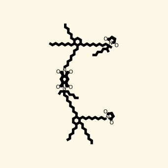 CCCCCCCCC1C(CCCCCC)CCC(CCCCCCCCC(CC)(CCCCC)n2c(=O)c3cc4c(=O)n(CCCCCCCCC5C(CCCCCCCCC(C)(C(C)CCCCC)N6C(=O)C=CC6=O)CCC(CCCCCC)C5CCCCCCCC)c(=O)c4cc3c2=O)C1CCCCCCCCN1C(=O)C=CC1=O